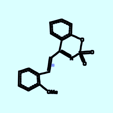 COc1ccccc1/C=C/C1=NS(=O)(=O)Oc2ccccc21